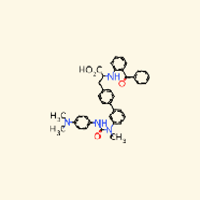 CN(C)c1ccc(NC(=O)N(C)c2cccc(-c3ccc(CC(Nc4ccccc4C(=O)c4ccccc4)C(=O)O)cc3)c2)cc1